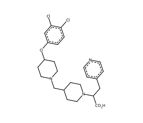 O=C(O)C(Cc1ccncc1)N1CCC(CN2CCC(Oc3ccc(Cl)c(Cl)c3)CC2)CC1